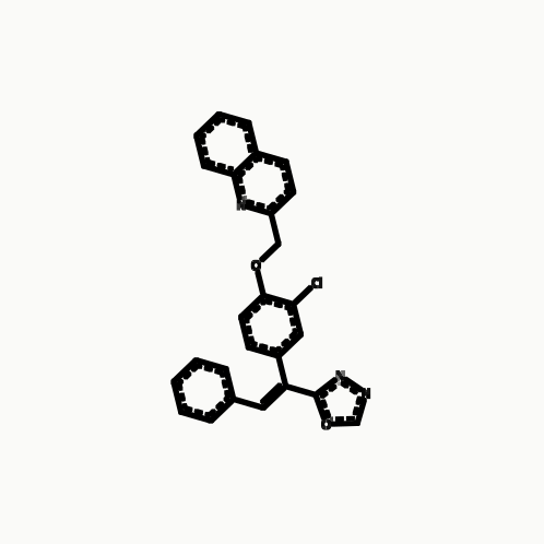 Clc1cc(/C(=C\c2ccccc2)c2nnco2)ccc1OCc1ccc2ccccc2n1